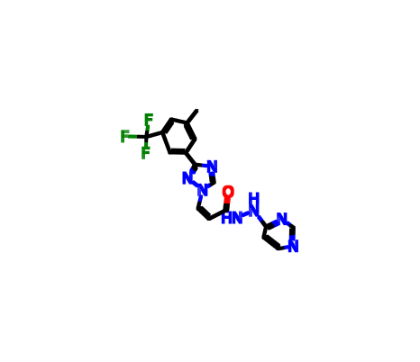 Cc1cc(-c2ncn(/C=C\C(=O)NNc3ccncn3)n2)cc(C(F)(F)F)c1